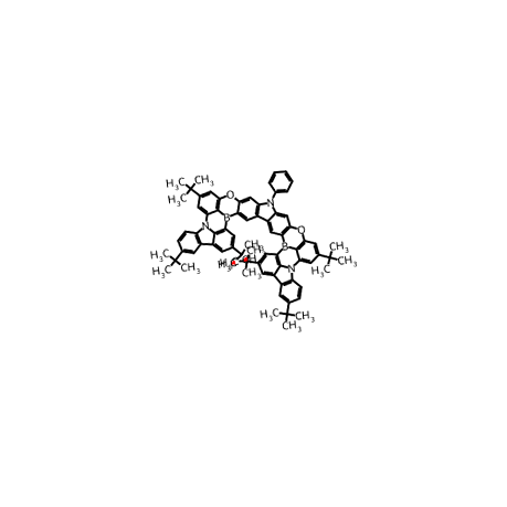 CC(C)(C)c1cc2c3c(c1)-n1c4ccc(C(C)(C)C)cc4c4cc(C(C)(C)C)cc(c41)B3c1cc3c4cc5c(cc4n(-c4ccccc4)c3cc1O2)Oc1cc(C(C)(C)C)cc2c1B5c1cc(C(C)(C)C)cc3c4cc(C(C)(C)C)ccc4n-2c13